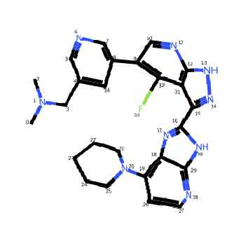 CN(C)Cc1cncc(-c2cnc3[nH]nc(-c4nc5c(N6CCCCC6)ccnc5[nH]4)c3c2F)c1